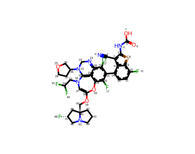 N#Cc1c(NC(=O)O)sc2c(F)ccc(-c3c(F)c4c5c(c3Cl)=NCN(C3CCOC3)C=5N(CC(F)F)C=C(OC[C@@]35CCCN3C[C@H](F)C5)O4)c12